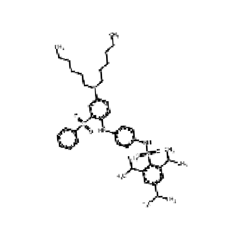 CCCCCCN(CCCCCC)c1ccc(Nc2ccc(NS(=O)(=O)c3c(C(C)C)cc(C(C)C)cc3C(C)C)cc2)c(S(=O)(=O)c2ccccc2)c1